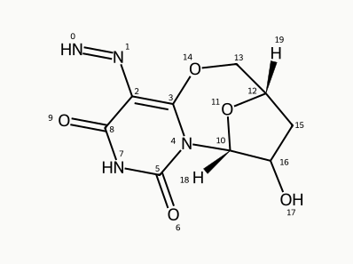 N=Nc1c2n(c(=O)[nH]c1=O)[C@@H]1O[C@H](CO2)CC1O